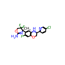 C[C@]1(c2cc3c(cc2F)OCC(c2ccc(Cl)cn2)N3)N=C(N)OCC1(F)F